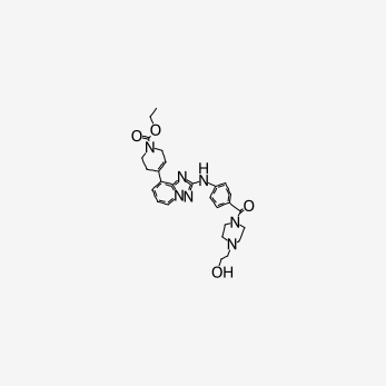 CCOC(=O)N1CC=C(c2cccn3nc(Nc4ccc(C(=O)N5CCN(CCO)CC5)cc4)nc23)CC1